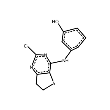 Oc1cccc(Nc2nc(Cl)nc3c2SCC3)c1